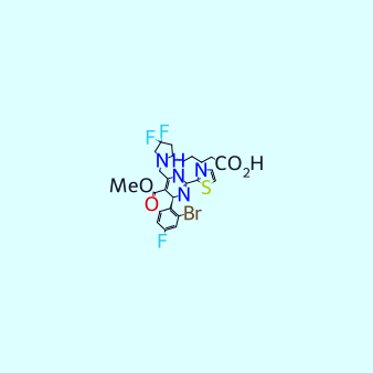 COC(=O)C1=C(CN2CC(F)(F)C[C@@H]2CCCCC(=O)O)NC(c2nccs2)=N[C@H]1c1ccc(F)cc1Br